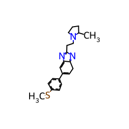 CSc1ccc(C2=CCC3=NC(CCN4CCCC4C)=NC3=C2)cc1